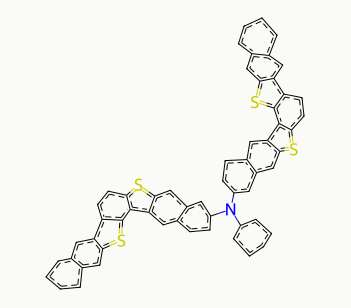 c1ccc(N(c2ccc3cc4c(cc3c2)sc2ccc3c5cc6ccccc6cc5sc3c24)c2ccc3cc4c(cc3c2)sc2ccc3c5cc6ccccc6cc5sc3c24)cc1